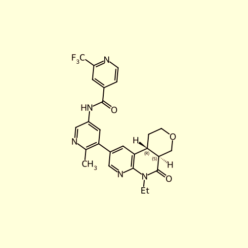 CCN1C(=O)[C@@H]2COCC[C@H]2c2cc(-c3cc(NC(=O)c4ccnc(C(F)(F)F)c4)cnc3C)cnc21